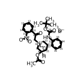 CC(=O)O[C@H]1C[N+]2(CC(=O)c3ccccc3[N+](=O)[O-])CCC1CC2.CC(C)(C)OC(=O)Nc1ccccc1.[Br-]